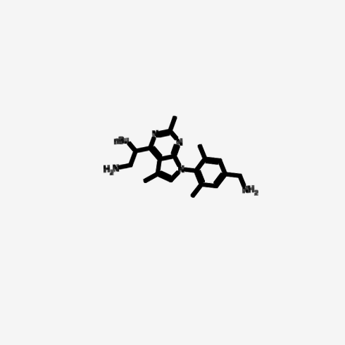 CCCCC(CN)c1nc(C)nc2c1c(C)cn2-c1c(C)cc(CN)cc1C